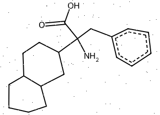 NC(Cc1ccccc1)(C(=O)O)C1CCC2CCCCC2C1